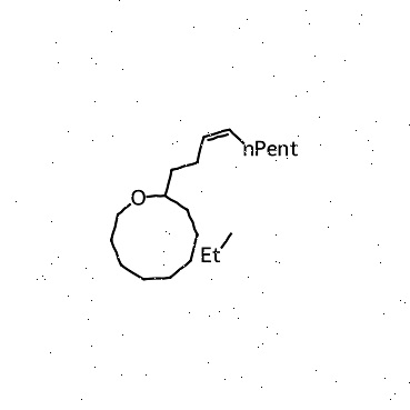 CCC.CCCCC/C=C\CCC1CCCCCCCCO1